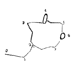 CC[C]1CO[CH]OC1